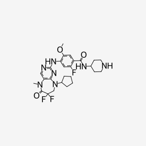 COc1cc(C(=O)NC2CCNCC2)c(F)cc1Nc1ncc2c(n1)N(C1CCCC1)CC(F)(F)C(=O)N2C